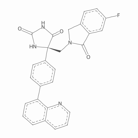 O=C1NC(=O)[C@](CN2Cc3ccc(F)cc3C2=O)(c2ccc(-c3cccc4cccnc34)cc2)N1